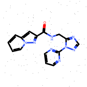 O=C(NCc1ncnn1-c1ncccn1)c1cc2ccccn2n1